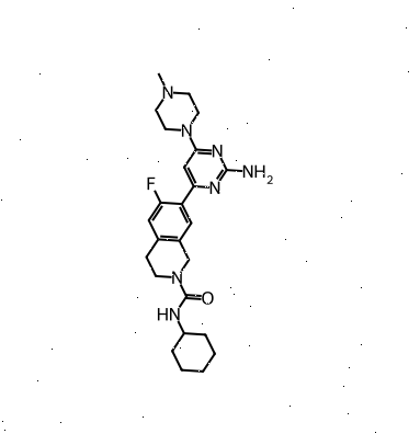 CN1CCN(c2cc(-c3cc4c(cc3F)CCN(C(=O)NC3CCCCC3)C4)nc(N)n2)CC1